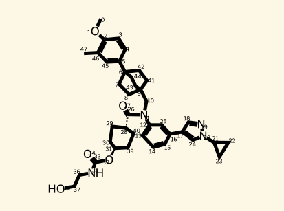 COc1ccc(C23CCC(CN(c4cccc(-c5cnn(C6CC6)c5)c4)C(=O)[C@H]4CC[C@H](OC(=O)NCCO)CC4)(CC2)CC3)cc1C